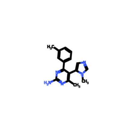 Cc1cccc(-c2nc(N)nc(C)c2-c2cncn2C)c1